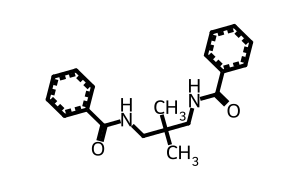 CC(C)(CNC(=O)c1ccccc1)CNC(=O)c1ccccc1